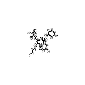 CCCCOc1c(COS(C)(=O)=O)nc(OCc2ccccc2)c(CC(C)C)[n+]1[O-]